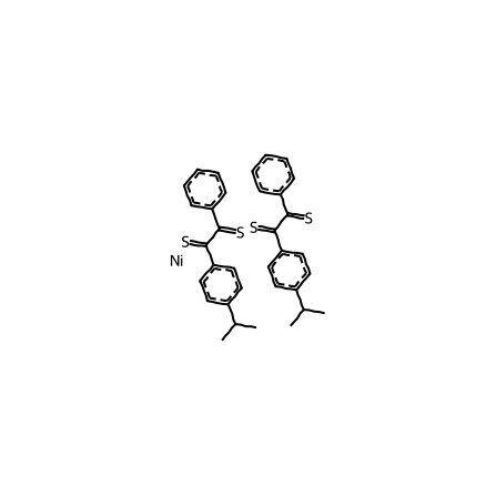 CC(C)c1ccc(C(=S)C(=S)c2ccccc2)cc1.CC(C)c1ccc(C(=S)C(=S)c2ccccc2)cc1.[Ni]